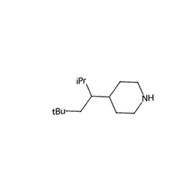 CC(C)C(CC(C)(C)C)C1CCNCC1